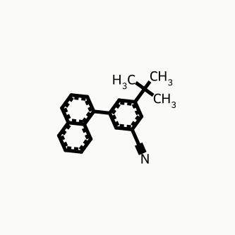 CC(C)(C)c1cc(C#N)cc(-c2cccc3ccccc23)c1